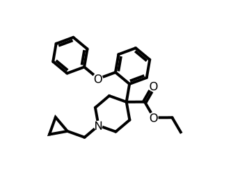 CCOC(=O)C1(c2ccccc2Oc2ccccc2)CCN(CC2CC2)CC1